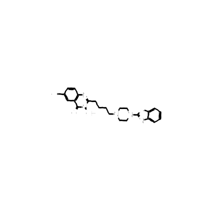 Cn1c(CCCCN2CCN(c3nc4ccccc4s3)CC2)nc2ccc(Cl)cc2c1=O